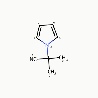 CC(C)(C#N)n1cccc1